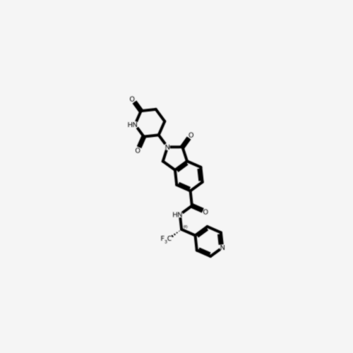 O=C1CCC(N2Cc3cc(C(=O)N[C@H](c4ccncc4)C(F)(F)F)ccc3C2=O)C(=O)N1